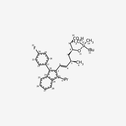 CC(C)n1c(/C=C/[C@H](C)C[C@@H](CC(=O)O)O[Si](C)(C)C(C)(C)C)c(-c2ccc(F)cc2)c2ccccc21